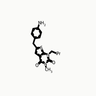 CC(C)Cn1c(=O)n(C)c(=O)c2cc(Cc3ccc(N)cc3)sc21